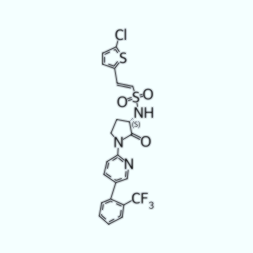 O=C1[C@@H](NS(=O)(=O)C=Cc2ccc(Cl)s2)CCN1c1ccc(-c2ccccc2C(F)(F)F)cn1